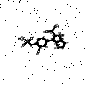 CS(=O)(=O)Cc1ccc(-c2c(C(=O)O)[nH]c3ccsc23)cc1Cl